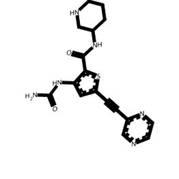 NC(=O)Nc1cc(C#Cc2cnccn2)sc1C(=O)NC1CCCNC1